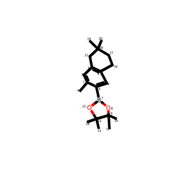 Cc1cc2c(cc1B1OC(C)(C)C(C)(C)O1)CCC(C)(C)C2